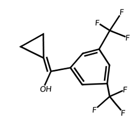 OC(=C1CC1)c1cc(C(F)(F)F)cc(C(F)(F)F)c1